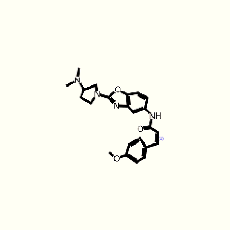 COc1ccc(/C=C\C(=O)Nc2ccc3oc(N4CCC(N(C)C)C4)nc3c2)cc1